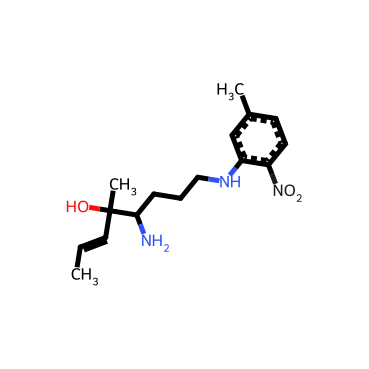 CC=CC(C)(O)C(N)CCCNc1cc(C)ccc1[N+](=O)[O-]